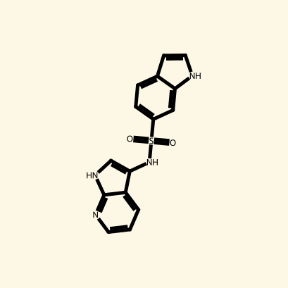 O=S(=O)(Nc1c[nH]c2ncccc12)c1ccc2cc[nH]c2c1